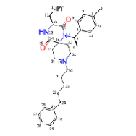 Cc1ccc([C@@H](C)N2C(=O)[C@H](CC(C)C)NC(=O)C23CCN(CCCCCc2ccccc2)CC3)cc1